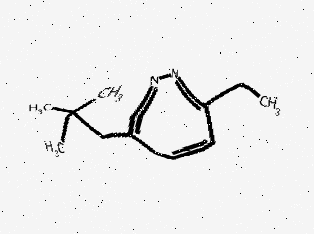 CCc1ccc(CC(C)(C)C)nn1